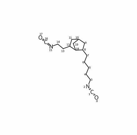 O=C=NCCCCCC1CC2CC(CCN=C=O)C1C2